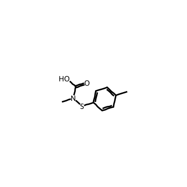 Cc1ccc(SN(C)C(=O)O)cc1